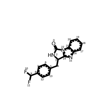 O=C1NC(Cc2ccc(C(F)F)cc2)c2nc3ccccc3n21